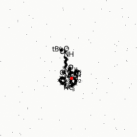 CC(C)(C)OC(=O)NCCCCCn1c(=O)c(-c2ccnn2-c2ccc(C#N)cc2)c(N)n(-c2cccc(C(F)(F)F)c2)c1=O